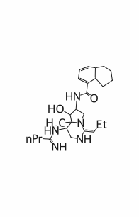 CC/C=C1/NCC(NC(=N)CCC)C2(C)C(O)C(NC(=O)c3cccc4c3CCCC4)CN12